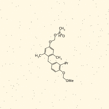 COCOc1ccc(Cc2c(C)cc(OCO[PH](C)=O)cc2C)cc1C(C)C